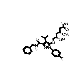 CC(C)c1c(C(=O)NCc2ccccc2)nn(-c2ccc(F)cc2)c1OC[C@@H](O)C[C@@H](O)CC(=O)O